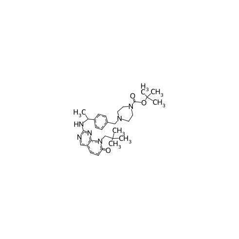 CC(Nc1ncc2ccc(=O)n(CC(C)(C)C)c2n1)c1ccc(CN2CCN(C(=O)OC(C)(C)C)CC2)cc1